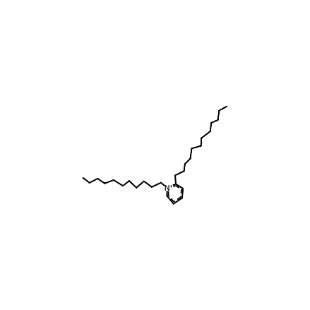 CCCCCCCCCCCCc1cccc[n+]1CCCCCCCCCCC